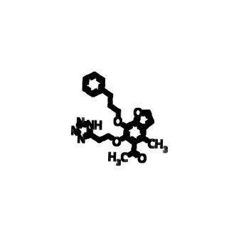 CC(=O)c1c(OCCc2nnn[nH]2)c(OCCCc2ccccc2)c2occc2c1C